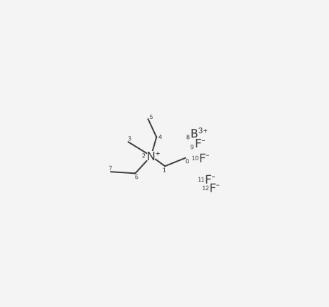 CC[N+](C)(CC)CC.[B+3].[F-].[F-].[F-].[F-]